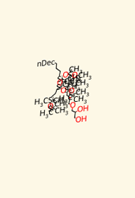 CCCCCCCCCCCCCC[Si](C)(O[Si](C)(C)O[Si](C)(C)C)O[Si](C)(CCC[Si](C)(C)O[Si](C)(C)C)O[Si](C)(CCCOCC(O)CO)O[Si](C)(C)C